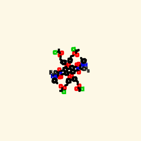 C=C(Cl)C(=O)OCCc1ccc(Oc2cc3c4c(cc(Oc5ccc(CCOC(=O)C(=C)Cl)cc5)c5c6c(Oc7ccc(CCOC(=O)C(=C)Cl)cc7)cc7c8c(cc(Oc9ccc(CCOC(=O)C(=C)Cl)cc9)c(c2c45)c86)C(=O)N(C(CC(F)(F)F)C(=O)Nc2cccc(C)c2)C7=O)C(=O)N(C(CC(F)(F)F)C(=O)Nc2cccc(C)c2)C3=O)cc1